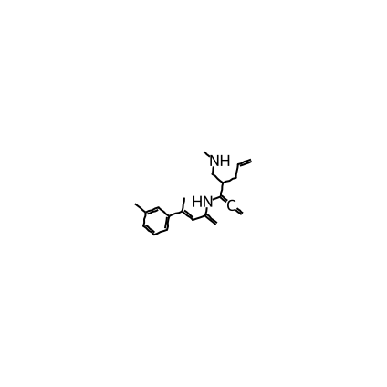 C=C=C(NC(=C)/C=C(\C)c1cccc(C)c1)C(CC=C)CNC